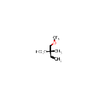 C=CC(C)(COC(F)(F)F)C(=O)O